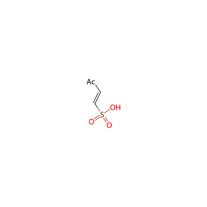 CC(=O)C=CS(=O)(=O)O